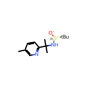 Cc1ccc(C(C)(C)N[S@+]([O-])C(C)(C)C)nc1